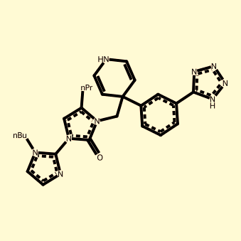 CCCCn1ccnc1-n1cc(CCC)n(CC2(c3cccc(-c4nnn[nH]4)c3)C=CNC=C2)c1=O